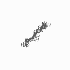 CNS(=O)(=O)c1cccc(OCC(O)CNC2COC3(CCN(S(=O)(=O)c4cnc5[nH]nc(C)c5c4)CC3)C2)c1